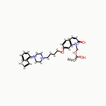 COC(O)OCn1c(=O)ccc2ccc(OCCCCN3CCN(c4cccc5sccc45)CC3)cc21